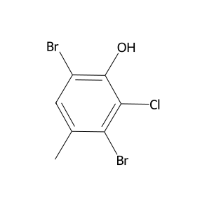 Cc1cc(Br)c(O)c(Cl)c1Br